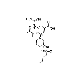 CCCCS(=O)(=O)N[C@H]1CCCN([C@@H]2C=C(C(=O)O)C[C@H](NC(=N)N)[C@H]2NC(C)=O)C1